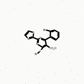 O=C(O)c1c(CBr)nc(-c2nccs2)nc1-c1ccccc1Br